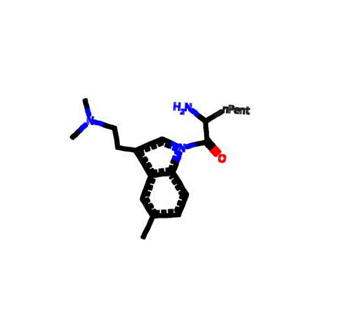 CCCCCC(N)C(=O)n1cc(CCN(C)C)c2cc(C)ccc21